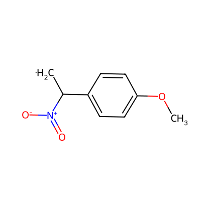 [CH2]C(c1ccc(OC)cc1)[N+](=O)[O-]